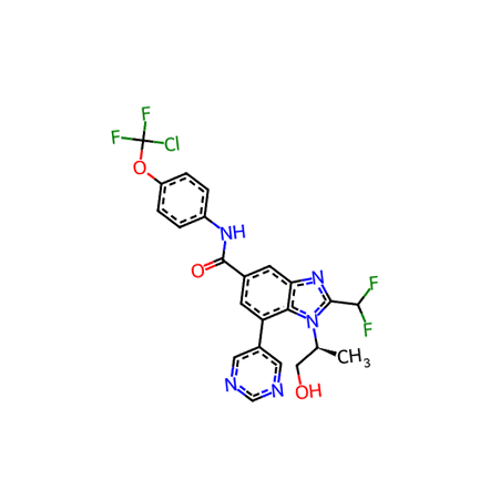 C[C@@H](CO)n1c(C(F)F)nc2cc(C(=O)Nc3ccc(OC(F)(F)Cl)cc3)cc(-c3cncnc3)c21